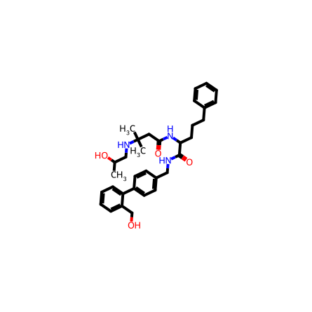 CC(O)CNC(C)(C)CC(=O)NC(CCCc1ccccc1)C(=O)NCc1ccc(-c2ccccc2CO)cc1